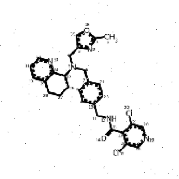 Cc1nc(CN(Cc2ccc(CNC(=O)c3c(Cl)cncc3Cl)cc2)C2CCCc3cccnc32)co1